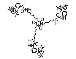 CC(C)(C)OP(=O)(OC(C)(C)C)c1cccc(NC(=O)NCCCCCCn2c(=O)n(CCCCCCNC(=O)Nc3cccc(P(=O)(OC(C)(C)C)OC(C)(C)C)c3)c(=O)n(CCCCCCNC(=O)Nc3cccc(P(=O)(OC(C)(C)C)OC(C)(C)C)c3)c2=O)c1